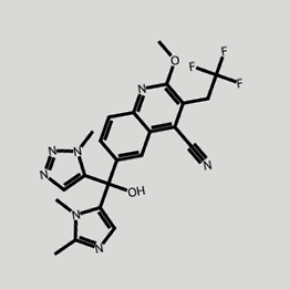 COc1nc2ccc(C(O)(c3cnnn3C)c3cnc(C)n3C)cc2c(C#N)c1CC(F)(F)F